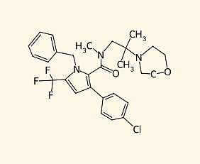 CN(CC(C)(C)N1CCOCC1)C(=O)c1c(-c2ccc(Cl)cc2)cc(C(F)(F)F)n1Cc1ccccc1